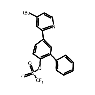 CC(C)(C)c1ccnc(-c2ccc(OS(=O)(=O)C(F)(F)F)c(-c3ccccc3)c2)c1